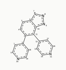 c1cc(-c2ccc3snnc3c2-c2ccncc2)ccn1